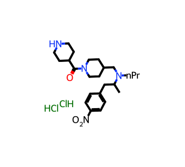 CCCN(CC1CCN(C(=O)C2CCNCC2)CC1)C(C)Cc1ccc([N+](=O)[O-])cc1.Cl.Cl